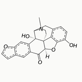 CN1CC[C@]23c4c5ccc(O)c4O[C@H]2C(=O)c2cc4ccoc4cc2[C@@]3(O)C1C5